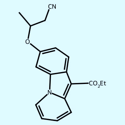 CCOC(=O)c1c2ccc(OC(C)CC#N)cc2n2ccccc12